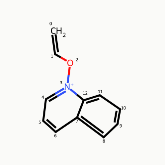 C=CO[n+]1cccc2ccccc21